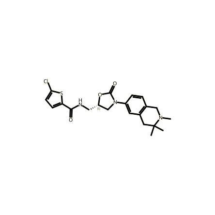 CN1Cc2ccc(N3C[C@H](CNC(=O)c4ccc(Cl)s4)OC3=O)cc2CC1(C)C